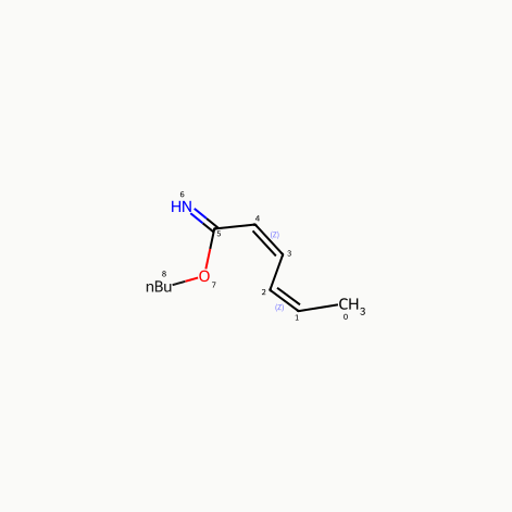 C/C=C\C=C/C(=N)OCCCC